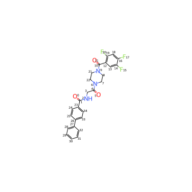 O=C(NCC(=O)N1CCN(C(=O)c2cc(F)c(F)cc2F)CC1)c1ccc(-c2ccccc2)cc1